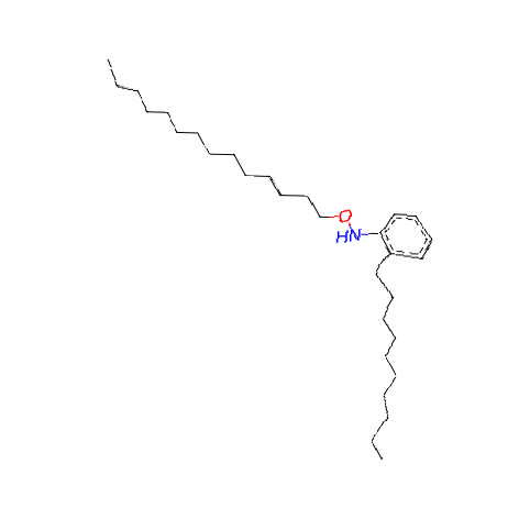 CCCCCCCCCCCCCCONc1ccccc1CCCCCCCCCC